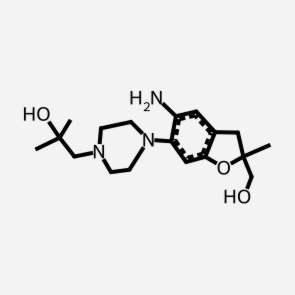 CC(C)(O)CN1CCN(c2cc3c(cc2N)CC(C)(CO)O3)CC1